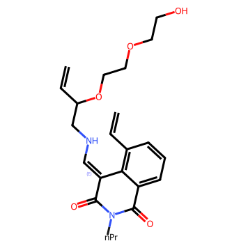 C=Cc1cccc2c1/C(=C\NCC(C=C)OCCOCCO)C(=O)N(CCC)C2=O